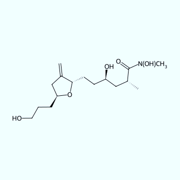 C=C1C[C@H](CCCO)O[C@H]1CC[C@@H](O)C[C@@H](C)C(=O)N(C)O